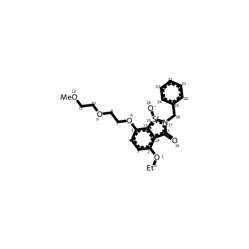 CCOc1ccc(OCCOCCOC)c2c1c(=O)n(Cc1ccccc1)[s+]2[O-]